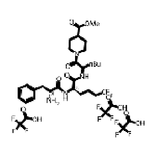 CCCCC(NC(=O)[C@@H](CCCC(F)(F)F)NC(=O)[C@H](N)Cc1ccccc1)C(=O)N1CCC(C(=O)OC)CC1.O=C(O)C(F)(F)F.O=C(O)C(F)(F)F.O=C(O)C(F)(F)F